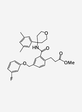 COC(=O)CCc1ccc(COc2cccc(F)c2)cc1C(=O)NC1(c2cc(C)cc(C)c2)CCOCC1